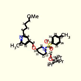 COCCCCc1cc(CO[C@@H]2CC[C@@H](CO[Si](C(C)C)(C(C)C)C(C)C)N(S(=O)(=O)c3ccc(C)cc3)C2)cc(C)n1